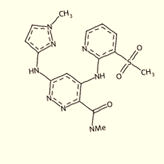 CNC(=O)c1nnc(Nc2ccn(C)n2)cc1Nc1ncccc1S(C)(=O)=O